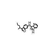 CCCC(C)c1coc2cc(Nc3n[nH]c4cccnc34)ccc12